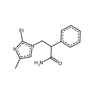 CCc1nc(C)cn1CC(C(N)=O)c1ccccc1